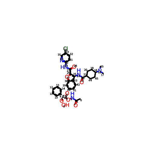 CC(=O)NO[As](=O)(OO)c1ccccc1.CN(C)C1CCC(C(=O)Nc2c(C(=O)Nc3ccc(Cl)cn3)oc3ccccc23)CC1